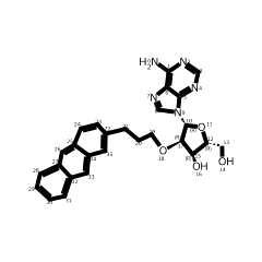 Nc1ncnc2c1ncn2[C@@H]1O[C@H](CO)[C@@H](O)[C@H]1OCCCc1ccc2cc3ccccc3cc2c1